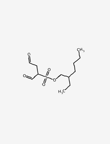 CCCCC(CC)COS(=O)(=O)C([C]=O)CC=O